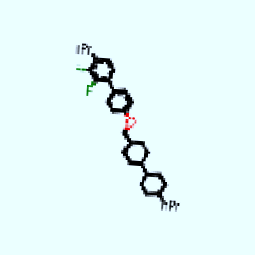 CCCc1ccc(-c2ccc(OCC3CCC(C4CCC(CCC)CC4)CC3)cc2)c(F)c1F